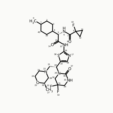 CC1CCC([C@H](NC(=O)C2(F)CC2)C(=O)Nc2ncc([C@@H](CN3CCO[C@H](C)C3)N3CC(F)(F)CNC3=O)s2)CC1